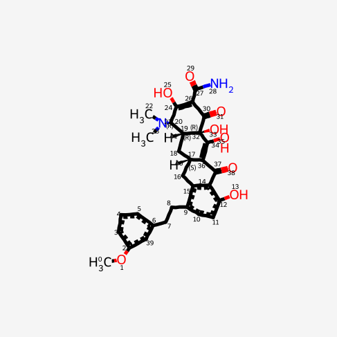 COc1cccc(CCc2ccc(O)c3c2C[C@@H]2C[C@@H]4[C@@H](N(C)C)C(O)=C(C(N)=O)C(=O)[C@]4(O)C(O)=C2C3=O)c1